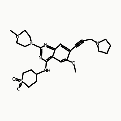 COc1cc2c(NC3CCS(=O)(=O)CC3)nc(N3CCN(C)CC3)nc2cc1C#CCN1CCCC1